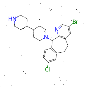 Clc1ccc2c(c1)CCc1cc(Br)cnc1C2N1CCC(C2CCNCC2)CC1